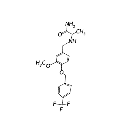 COc1cc(CNC(C)C(N)=O)ccc1OCc1ccc(C(F)(F)F)cc1